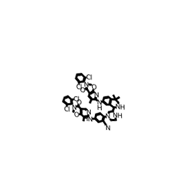 Cc1cc2c(nc1Nc1ccc3c(c1)C(C1CN(c4ccc(Nc5ncc6c(c5C)OCN(c5c(Cl)cccc5Cl)C6=O)cc4C#N)CCN1)NCC3(C)C)OCN(c1c(Cl)cccc1Cl)C2=O